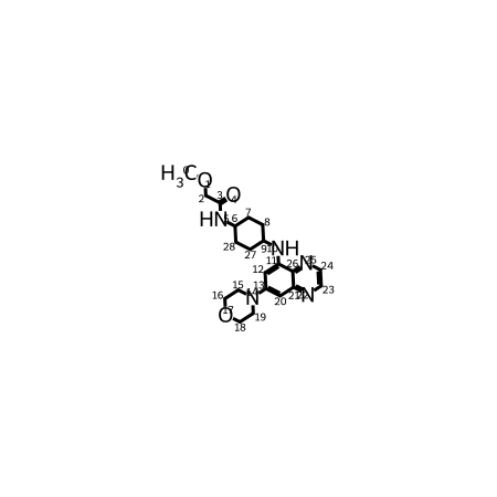 COCC(=O)NC1CCC(Nc2cc(N3CCOCC3)cc3nccnc23)CC1